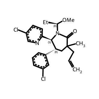 C=CCC1(C)C[C@H](c2cccc(Cl)c2)[C@@H](c2ccc(Cl)cn2)N([C@@H](CC)OC)C1=O